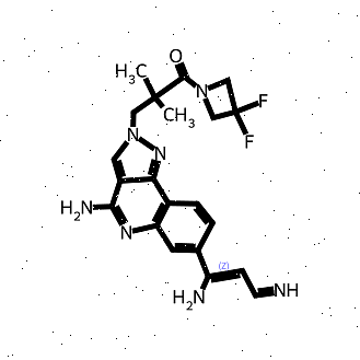 CC(C)(Cn1cc2c(N)nc3cc(/C(N)=C/C=N)ccc3c2n1)C(=O)N1CC(F)(F)C1